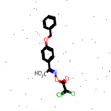 O=C(O)/C(=N\OC(=O)C(Cl)Cl)c1ccc(OCc2ccccc2)cc1